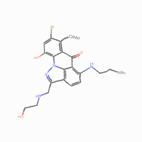 CNCCNc1ccc2c(CNCCO)nn3c4c(O)cc(Br)c(OC)c4c(=O)c1c23